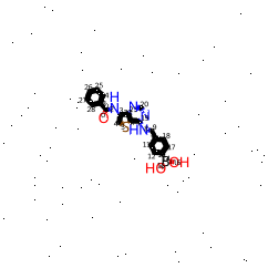 O=C(Nc1csc2c(NCc3ccc(B(O)O)cc3)ncnc12)c1ccccc1